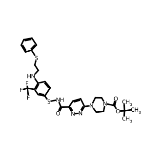 CC(C)(C)OC(=O)N1CCN(c2ccc(C(=O)NSc3ccc(NCCSc4ccccc4)c(C(F)(F)F)c3)nn2)CC1